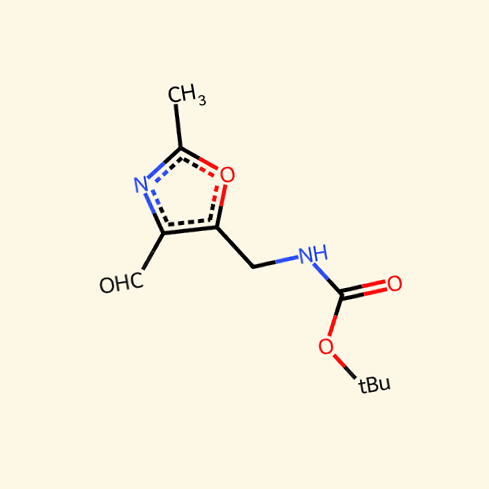 Cc1nc(C=O)c(CNC(=O)OC(C)(C)C)o1